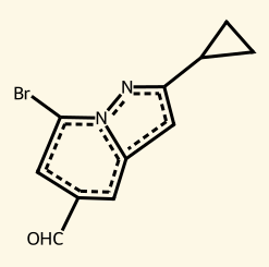 O=Cc1cc(Br)n2nc(C3CC3)cc2c1